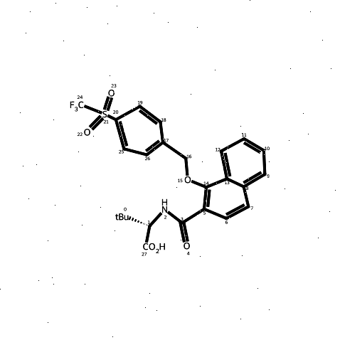 CC(C)(C)[C@H](NC(=O)c1ccc2ccccc2c1OCc1ccc(S(=O)(=O)C(F)(F)F)cc1)C(=O)O